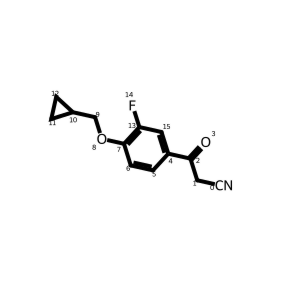 N#CCC(=O)c1ccc(OCC2CC2)c(F)c1